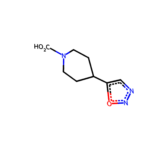 O=C(O)N1CCC(c2cnno2)CC1